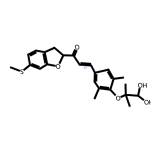 CSc1ccc2c(c1)OC(C(=O)/C=C/c1cc(C)c(OC(C)(C)C(O)O)c(C)c1)C2